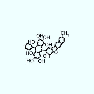 Cc1ccc2cc3oc4ccc(-c5c6c(O)c(O)c(O)c(O)c6c(-c6ccccc6)c6c(O)c(O)c(O)c(O)c56)cc4c3cc2c1